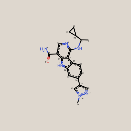 CC(Nc1ncc(C(N)=O)c2[nH]c3cc(-c4cnn(C)c4)ccc3c12)C1CC1